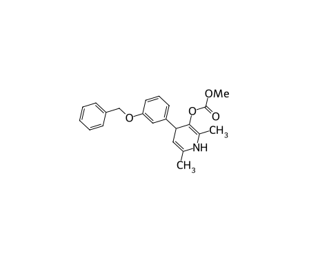 COC(=O)OC1=C(C)NC(C)=CC1c1cccc(OCc2ccccc2)c1